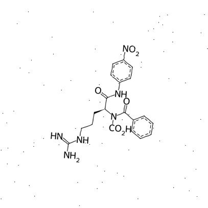 N=C(N)NCCC[C@@H](C(=O)Nc1ccc([N+](=O)[O-])cc1)N(C(=O)O)C(=O)c1ccccc1